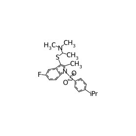 Cc1c(SC(C)N(C)C)c2cc(F)ccc2n1S(=O)(=O)c1ccc(C(C)C)cc1